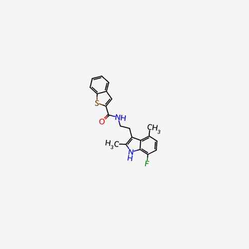 Cc1[nH]c2c(F)ccc(C)c2c1CCNC(=O)c1cc2ccccc2s1